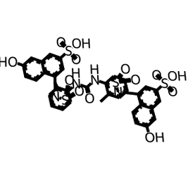 Cc1c2ccc(c1NC(=O)Nc1c3ccc(c1C)N(c1cc(S(=O)(=O)O)cc4cc(O)ccc14)S3(=O)=O)S(=O)(=O)N2c1cc(S(=O)(=O)O)cc2cc(O)ccc12